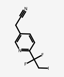 N#CCc1ccc(C(F)(F)CI)nc1